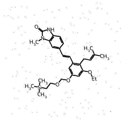 CCOc1cc(OCOCC[Si](C)(C)C)cc(/C=C/c2ccc3[nH]c(=O)n(C)c3c2)c1CC=C(C)C